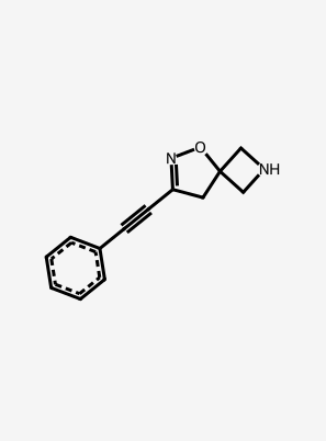 C(#Cc1ccccc1)C1=NOC2(CNC2)C1